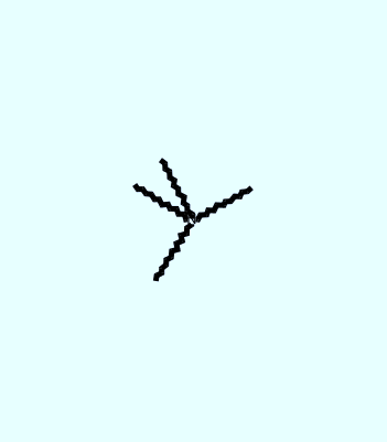 CCCCCCCCCCCCCCC[N+](CCCCCCCCCCCCCC)(CCCCCCCCCCCCCC)CCCCCCCCCCCCCC